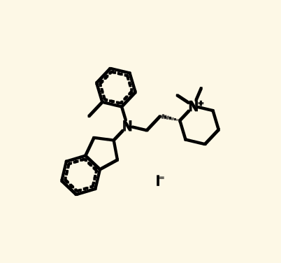 Cc1ccccc1N(CC[C@H]1CCCC[N+]1(C)C)C1Cc2ccccc2C1.[I-]